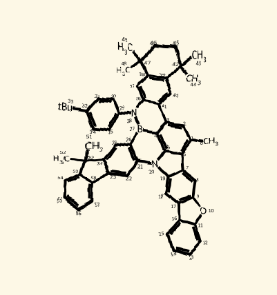 Cc1cc2c3c4c1c1cc5oc6ccccc6c5cc1n4-c1cc4c(cc1B3N(c1ccc(C(C)(C)C)cc1)c1cc3c(cc1-2)C(C)(C)CCC3(C)C)C(C)(C)c1ccccc1-4